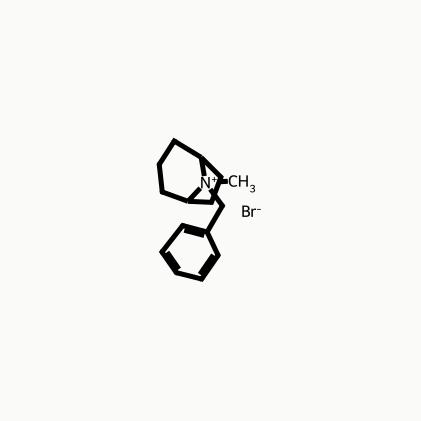 C[N+]1(Cc2ccccc2)C2CCCC1CC2.[Br-]